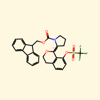 O=C(OCC1c2ccccc2-c2ccccc21)N1CCC/C1=C1/OCCc2cccc(OS(=O)(=O)C(F)(F)F)c21